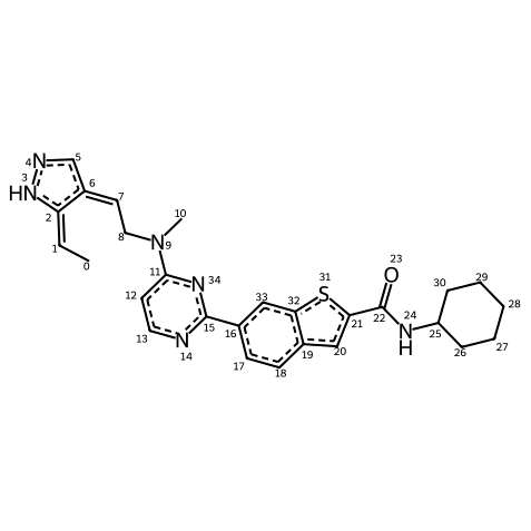 C/C=c1/[nH]nc/c1=C/CN(C)c1ccnc(-c2ccc3cc(C(=O)NC4CCCCC4)sc3c2)n1